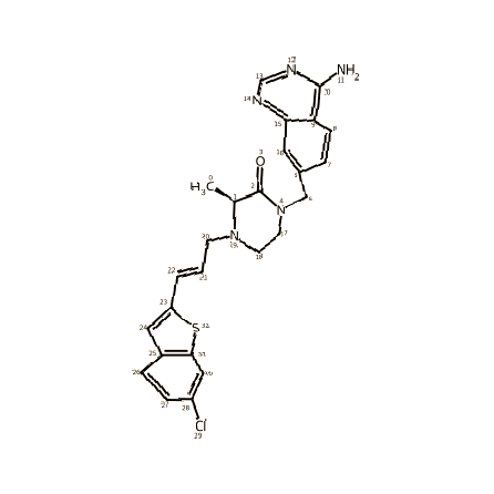 C[C@H]1C(=O)N(Cc2ccc3c(N)ncnc3c2)CCN1CC=Cc1cc2ccc(Cl)cc2s1